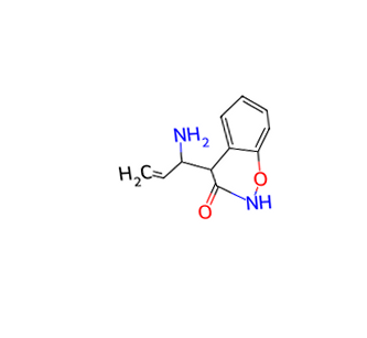 C=CC(N)C1C(=O)NOc2ccccc21